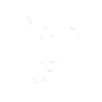 O=C(Nc1ccc(-c2nc(-c3ccc(CN4CCOCC4)s3)nc(C3CNCCO3)n2)cc1)Nc1ccncn1